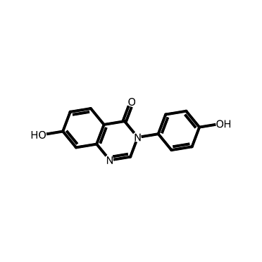 O=c1c2ccc(O)cc2ncn1-c1ccc(O)cc1